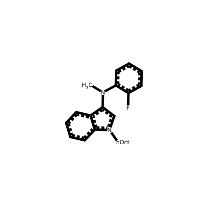 CCCCCCCCn1cc(N(C)c2ccccc2F)c2ccccc21